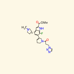 COC(=O)c1cc2c([C@@H]3CCN(C)C3)cc(C3=CCCN(C(=O)CCn4ccnn4)C3)c(F)c2[nH]1